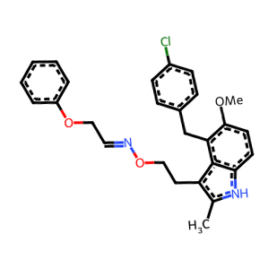 COc1ccc2[nH]c(C)c(CCON=CCOc3ccccc3)c2c1Cc1ccc(Cl)cc1